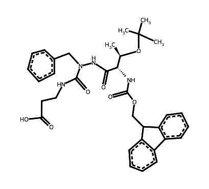 C[C@@H](OC(C)(C)C)[C@H](NC(=O)OCC1c2ccccc2-c2ccccc21)C(=O)NN(Cc1ccccc1)C(=O)NCCC(=O)O